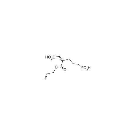 C=CCOC(=O)C(=CC(=O)O)CCCS(=O)(=O)O